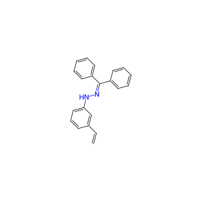 C=Cc1cccc(NN=C(c2ccccc2)c2ccccc2)c1